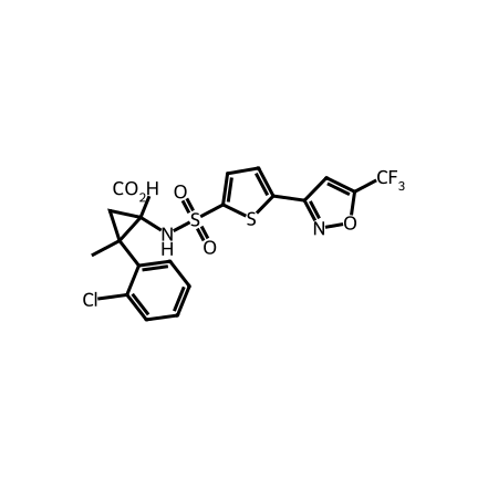 CC1(c2ccccc2Cl)CC1(NS(=O)(=O)c1ccc(-c2cc(C(F)(F)F)on2)s1)C(=O)O